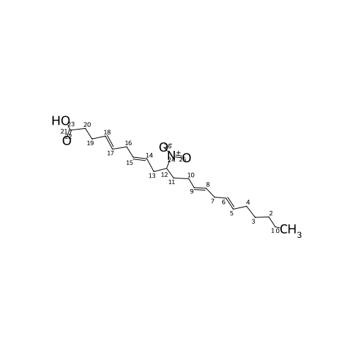 CCCCC/C=C/C/C=C/CCC(C/C=C/C/C=C/CCC(=O)O)[N+](=O)[O-]